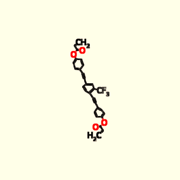 C=CC(=O)Oc1ccc(C#Cc2ccc(C#Cc3ccc(OC(=O)C=C)cc3)c(C(F)(F)F)c2)cc1